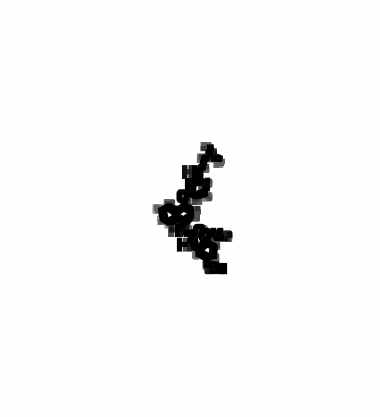 COc1ccc(C(C)(C)C)cc1NC(=O)Nc1ccc(Oc2ccnc(NCCN(C)C)n2)c2ccccc12